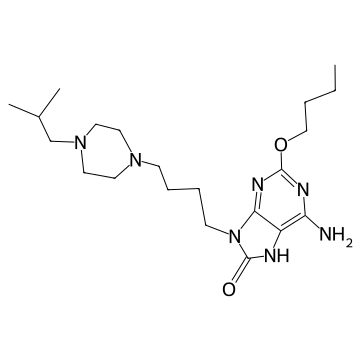 CCCCOc1nc(N)c2[nH]c(=O)n(CCCCN3CCN(CC(C)C)CC3)c2n1